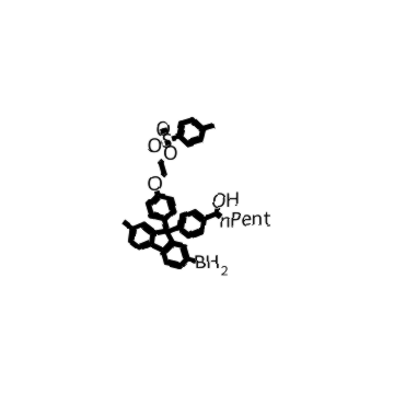 Bc1ccc2c(c1)C(c1ccc(OCCOS(=O)(=O)c3ccc(C)cc3)cc1)(c1ccc(C(O)CCCCC)cc1)c1cc(C)ccc1-2